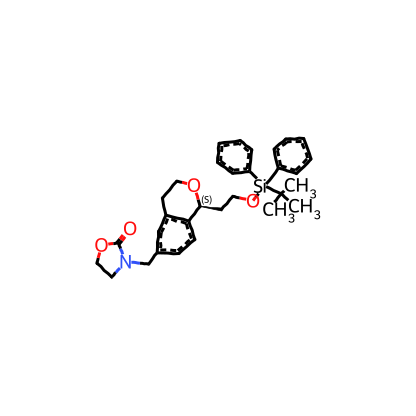 CC(C)(C)[Si](OCC[C@@H]1OCCc2cc(CN3CCOC3=O)ccc21)(c1ccccc1)c1ccccc1